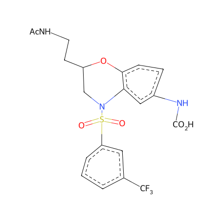 CC(=O)NCCC1CN(S(=O)(=O)c2cccc(C(F)(F)F)c2)c2cc(NC(=O)O)ccc2O1